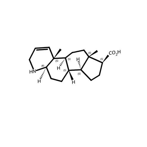 C[C@]12C=CCN[C@@H]1CC[C@@H]1[C@@H]2CC[C@]2(C)[C@@H](C(=O)O)CC[C@@H]12